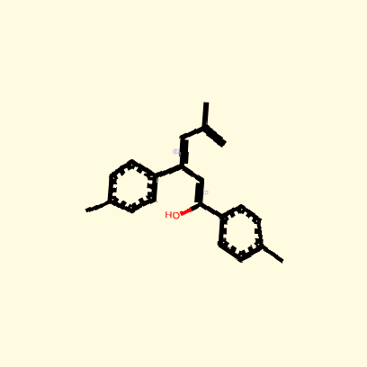 C=C(C)/C=C(\C=C(/O)c1ccc(C)cc1)c1ccc(C)cc1